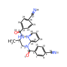 CC(CN(C(=O)c1ccc(C#N)cc1)c1ccccn1)NC(=O)c1ccc(C#N)cc1